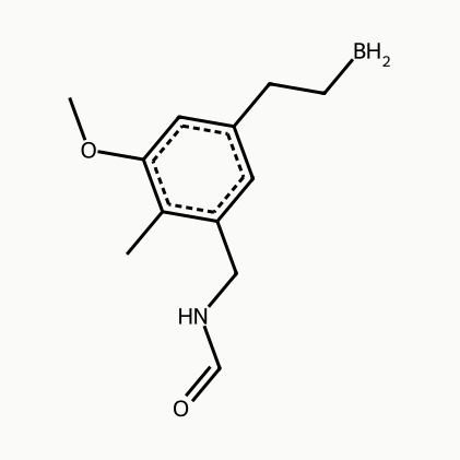 BCCc1cc(CNC=O)c(C)c(OC)c1